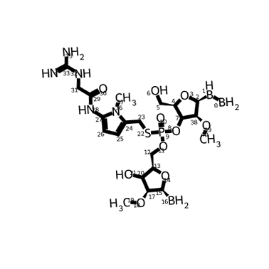 BB[C@@H]1O[C@H](CO)C(OP(=O)(OC[C@H]2O[C@@H](B)[C@@H](OC)C2O)SCc2ccc(NC(=O)CNC(=N)N)n2C)[C@@H]1OC